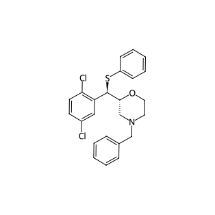 Clc1ccc(Cl)c([C@@H](Sc2ccccc2)[C@H]2CN(Cc3ccccc3)CCO2)c1